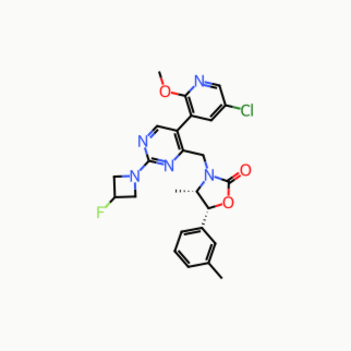 COc1ncc(Cl)cc1-c1cnc(N2CC(F)C2)nc1CN1C(=O)O[C@H](c2cccc(C)c2)[C@@H]1C